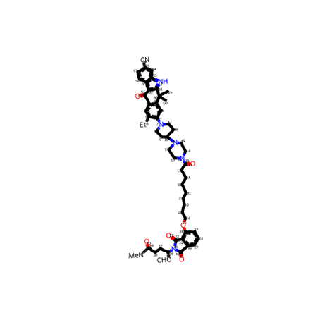 CCc1cc2c(cc1N1CCC(N3CCN(C(=O)CCCCCCCCOc4cccc5c4C(=O)N(C(C=O)CCC(=O)NC)C5=O)CC3)CC1)C(C)(C)c1[nH]c3cc(C#N)ccc3c1C2=O